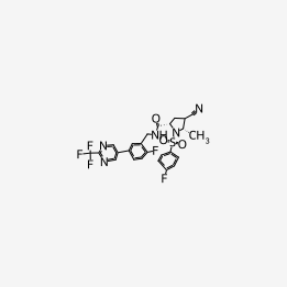 C[C@H]1C(C#N)C[C@@H](C(=O)NCc2cc(-c3cnc(C(F)(F)F)nc3)ccc2F)N1S(=O)(=O)c1ccc(F)cc1